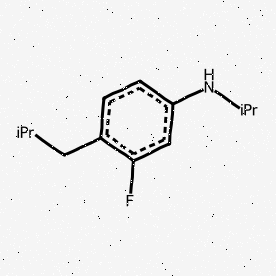 CC(C)Cc1ccc(NC(C)C)cc1F